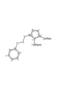 CCCCCCn1cc[n+](CCCc2ccccc2)c1CCCCC